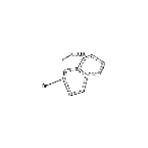 Brc1ccc2ccccc2c1.CCOC(C)=O